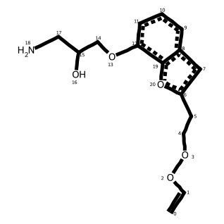 C=COOCCc1cc2cccc(OCC(O)CN)c2o1